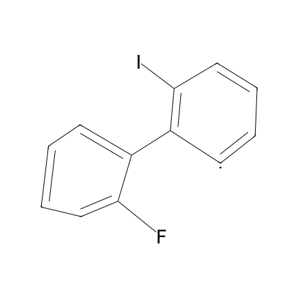 Fc1ccccc1-c1[c]cccc1I